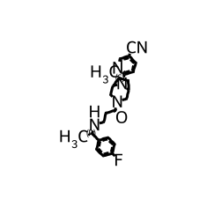 C[C@@H](NCCC(=O)N1CC2C[C@H](C)C(C1)N2c1ccc(C#N)cn1)c1ccc(F)cc1